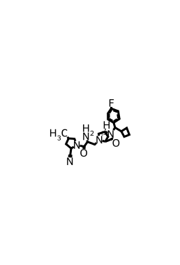 CC1CC(C#N)N(C(=O)C(N)CN2C[C@@H]3CC2C(=O)N3C(c2ccc(F)cc2)C2CCC2)C1